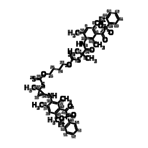 CCOP(=O)(C(=O)c1c(C)cc(C)c(NC(=O)C(C)(C)SC(=S)OCCCCOC(=S)SC2(C)C=C2Nc2c(C)cc(C)c(C(=O)P(=O)(OCC)c3ccccc3)c2C)c1C)c1ccccc1